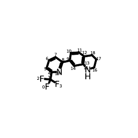 FC(F)(F)c1cccc(-c2ccc3c(c2)NCCC3)n1